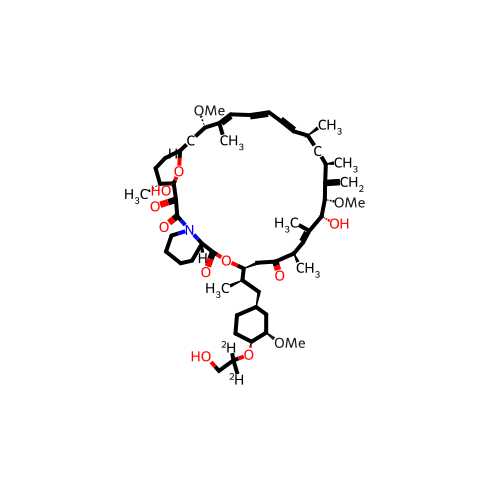 [2H]C([2H])(CO)O[C@@H]1CC[C@@H](C[C@@H](C)[C@@H]2CC(=O)[C@H](C)/C=C(\C)[C@@H](O)[C@@H](OC)C(=C)[C@H](C)C[C@H](C)/C=C/C=C/C=C(\C)[C@@H](OC)C[C@@H]3CC[C@@H](C)[C@@](O)(O3)C(=O)C(=O)N3CCCC[C@H]3C(=O)O2)C[C@H]1OC